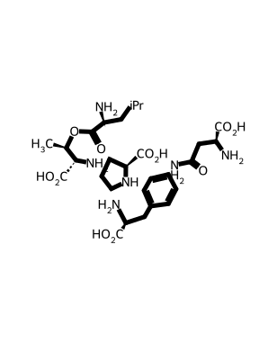 CC(C)C[C@H](N)C(=O)O[C@H](C)[C@H](N)C(=O)O.NC(=O)C[C@H](N)C(=O)O.N[C@@H](Cc1ccccc1)C(=O)O.O=C(O)[C@@H]1CCCN1